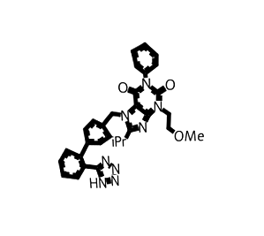 COCCn1c(=O)n(-c2ccccc2)c(=O)c2c1nc(C(C)C)n2Cc1ccc(-c2ccccc2-c2nnn[nH]2)cc1